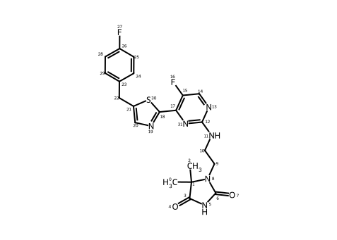 CC1(C)C(=O)NC(=O)N1CCNc1ncc(F)c(-c2ncc(Cc3ccc(F)cc3)s2)n1